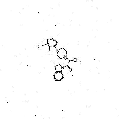 CC(C(=O)N1CCc2ccccc21)N1CCN(c2cccc(Cl)c2Cl)CC1